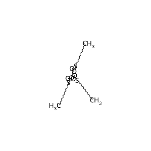 CCCCCCCCCCCCCCSCC(=O)OCC(COC(=O)CSCCCCCCCCCCCCCC)OC(=O)CSCCCCCCCCCCCCCC